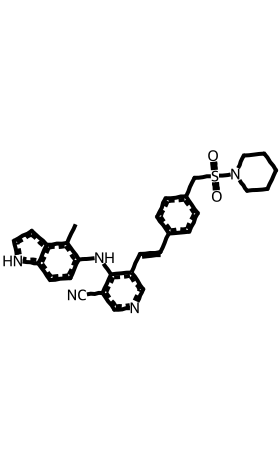 Cc1c(Nc2c(C#N)cncc2/C=C/c2ccc(CS(=O)(=O)N3CCCCC3)cc2)ccc2[nH]ccc12